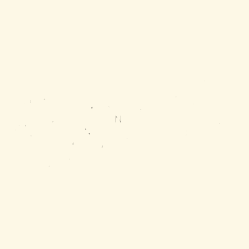 c1ccc2c(c1)CC(CCN1CCN(c3cccc4c3CCOO4)CC1)C2